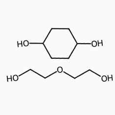 OC1CCC(O)CC1.OCCOCCO